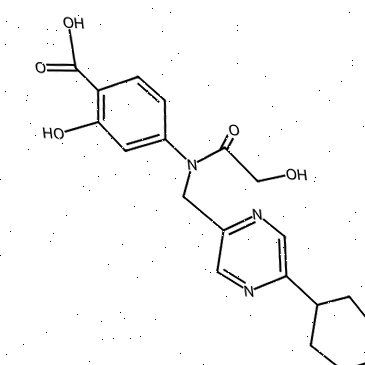 O=C(O)c1ccc(N(Cc2cnc(C3CCCCC3)cn2)C(=O)CO)cc1O